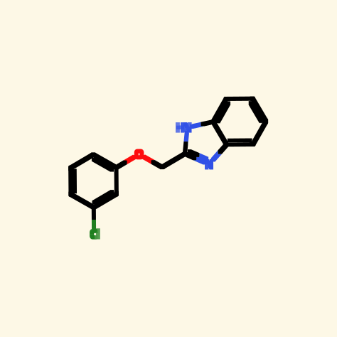 Clc1cccc(OCc2nc3ccccc3[nH]2)c1